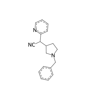 N#CC(c1ccccn1)C1CCN(Cc2ccccc2)C1